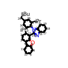 Cc1ccc2c(oc3ccccc32)c1-c1nc2ccccc2n1-c1c(C(C)C)cc(CC(C)(C)C)cc1C(C)C